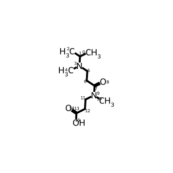 CC(C)N(C)CCC(=O)N(C)CCC(=O)O